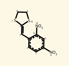 O=[N+]([O-])c1ccc(C=C2SCCS2)c([N+](=O)[O-])c1